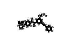 COc1cc(C#Cc2ccccn2)cc(C(=O)Nc2ccc(N3CCCS3(=O)=O)cc2)c1